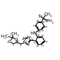 CC1(C)OCC(Cn2nnc(-c3ccccc3Nc3ccc(C(C)(F)P)cc3)n2)O1